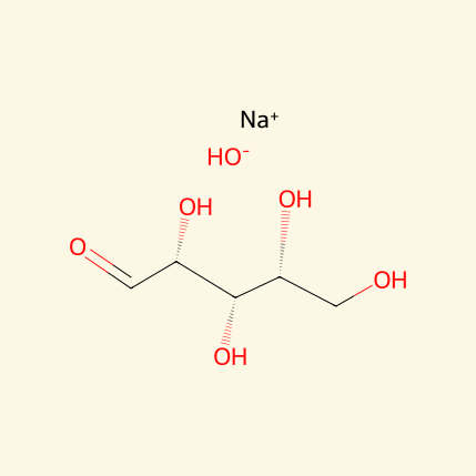 O=C[C@H](O)[C@@H](O)[C@H](O)CO.[Na+].[OH-]